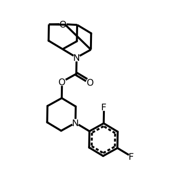 O=C(OC1CCCN(c2ccc(F)cc2F)C1)N1C2CC3CC1CC(C2)O3